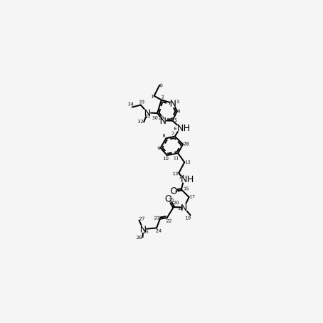 CCc1ncc(Nc2cccc(CCNC(=O)CN(C)C(=O)/C=C/CN(C)C)c2)nc1N(C)CC